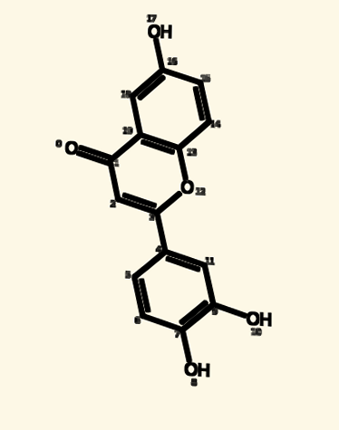 O=c1cc(-c2ccc(O)c(O)c2)oc2ccc(O)cc12